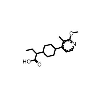 CCC(C(=O)O)C1CCC(c2ccnc(OC)c2C)CC1